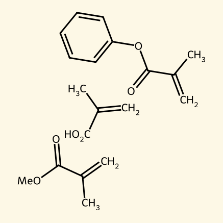 C=C(C)C(=O)O.C=C(C)C(=O)OC.C=C(C)C(=O)Oc1ccccc1